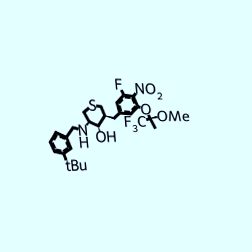 CO[C@](C)(Oc1cc(C[C@@H]2CSC[C@H](NCc3cccc(C(C)(C)C)c3)[C@H]2O)cc(F)c1[N+](=O)[O-])C(F)(F)F